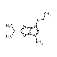 CCSn1cc(N)c2nc(C(C)C)nn21